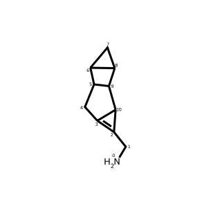 NCC1=C2CC3C4CC4C3C12